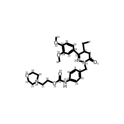 CCC1CC(=O)N(Cc2ccc(NC(=O)OCCN3CCOCC3)cc2)N=C1c1ccc(OC)c(OC)c1